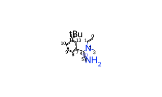 C=CN(C)/C(=C\N)c1cccc(C(C)(C)C)c1